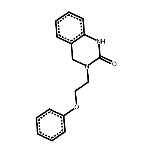 O=C1Nc2ccccc2CN1CCOc1ccccc1